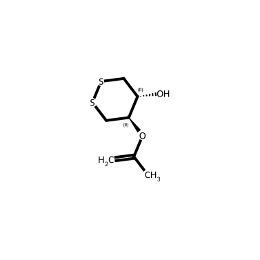 C=C(C)O[C@H]1CSSC[C@@H]1O